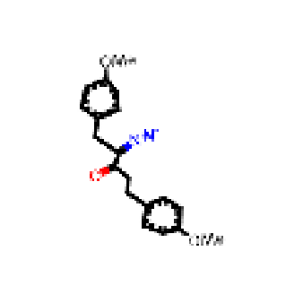 COc1ccc(CCC(=O)C(Cc2ccc(OC)cc2)=[N+]=[N-])cc1